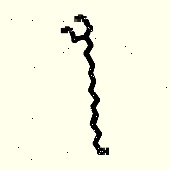 CCCOC(CCCCCCCC/C=C/CCO)OCCC